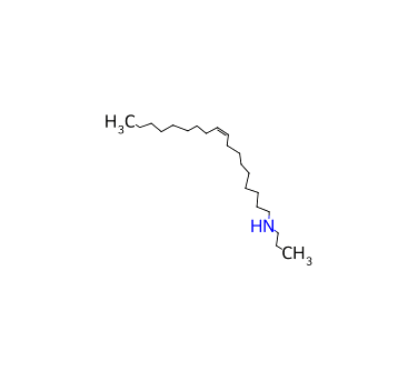 CCCCCCCC/C=C\CCCCCCCCNCCC